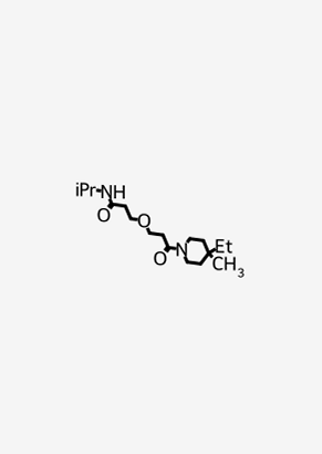 CCC1(C)CCN(C(=O)CCOCCC(=O)NC(C)C)CC1